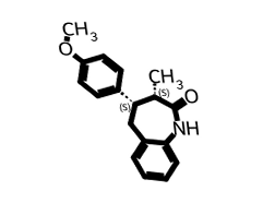 COc1ccc([C@H]2Cc3ccccc3NC(=O)[C@H]2C)cc1